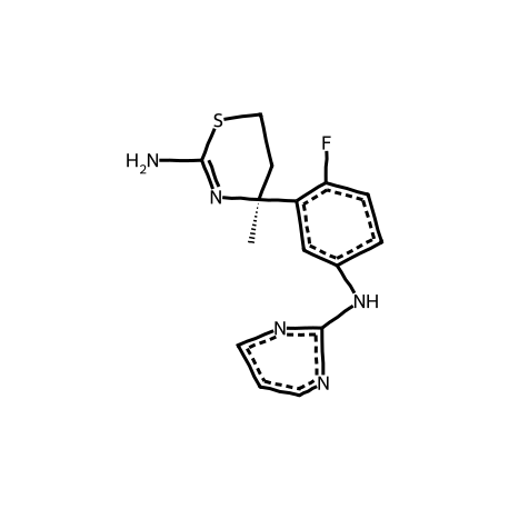 C[C@@]1(c2cc(Nc3ncccn3)ccc2F)CCSC(N)=N1